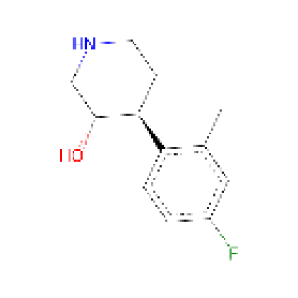 Cc1cc(F)ccc1[C@@H]1CCNC[C@H]1O